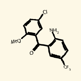 COc1ccc(Cl)cc1C(=O)c1cc(C(F)(F)F)ccc1N